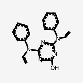 C=CN(c1ccccc1)c1nc(O)nc(N(C=C)c2ccccc2)n1